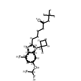 CC(C)(C)CC(=O)CCCCc1nc2c(F)cc(OC(F)F)cc2n1C1(C)CCC1